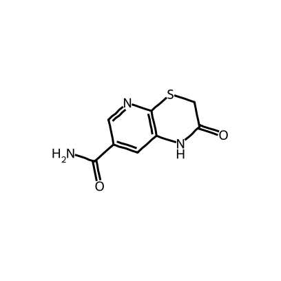 NC(=O)c1cnc2c(c1)NC(=O)CS2